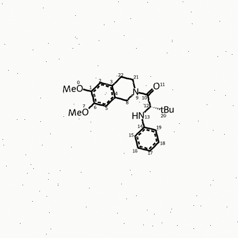 COc1cc2c(cc1OC)CN(C(=O)[C@@H](Nc1ccccc1)C(C)(C)C)CC2